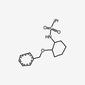 CC(C)S(=O)(=O)NC1CCCCC1OCc1ccccc1